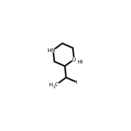 CC(I)C1CNCCO1.I